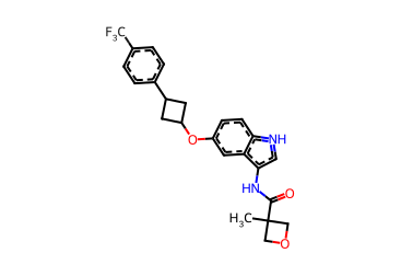 CC1(C(=O)Nc2c[nH]c3ccc(OC4CC(c5ccc(C(F)(F)F)cc5)C4)cc23)COC1